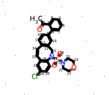 CC(=O)c1ccccc1-c1ccc2c(c1)CN(S(=O)(=O)N1CCOCC1)c1ccc(Cl)cc1C=C2